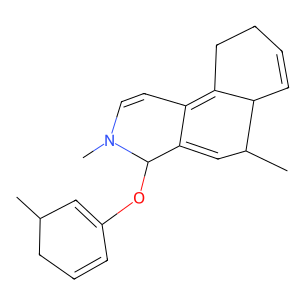 CC1C=C(OC2C3=CC(C)C4C=CCCC4=C3C=CN2C)C=CC1